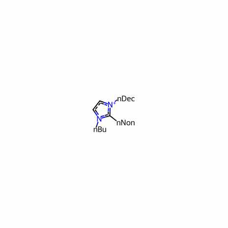 CCCCCCCCCC[n+]1ccn(CCCC)c1CCCCCCCCC